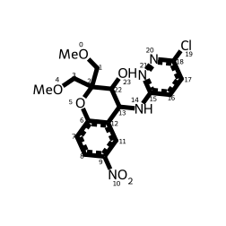 COCC1(COC)Oc2ccc([N+](=O)[O-])cc2C(Nc2ccc(Cl)nn2)C1O